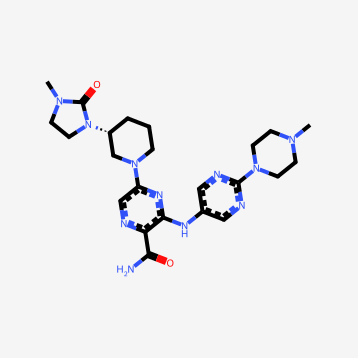 CN1CCN(c2ncc(Nc3nc(N4CCC[C@@H](N5CCN(C)C5=O)C4)cnc3C(N)=O)cn2)CC1